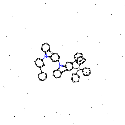 c1ccc(-c2cccc(-n3c4ccccc4c4ccc(-n5c6ccccc6c6cc([Si](c7ccccc7)(c7ccccc7)c7ccccc7)c(-c7ccccc7)cc65)cc43)c2)cc1